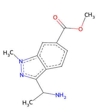 COC(=O)c1ccc2c(C(C)N)nn(C)c2c1